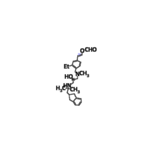 CCc1cc(/C=C/OC=O)ccc1CN(C)C[C@H](O)CNC(C)(C)CC1Cc2ccccc2C1